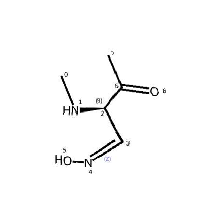 CN[C@H](/C=N\O)C(C)=O